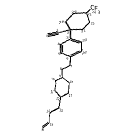 C#CC1(c2ccc(CCC3CCC(CCC=C)CC3)cc2)CCC(C(F)(F)F)CC1